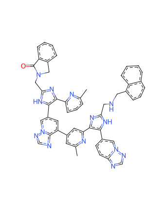 Cc1cc(-c2cc(-c3[nH]c(CN4Cc5ccccc5C4=O)nc3-c3cccc(C)n3)cn3ncnc23)cc(-c2nc(CNCc3cccc4ccccc34)[nH]c2-c2ccc3ncnn3c2)n1